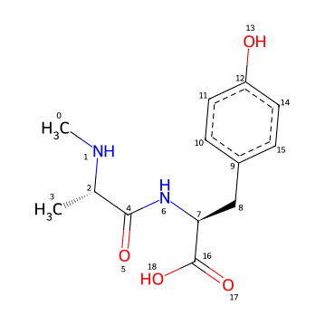 CN[C@@H](C)C(=O)N[C@@H](Cc1ccc(O)cc1)C(=O)O